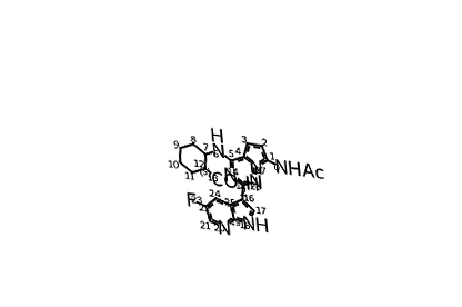 CC(=O)Nc1ccc2c(NC3CCCC[C@@H]3C(=O)O)nc(-c3c[nH]c4ncc(F)cc34)nn12